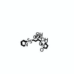 O=C1CCC(=O)N1OC(O)C(CCSSc1ccccn1)S(=O)(=O)O